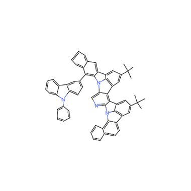 CC(C)(C)c1cc2c3cc4ccccc4c(-c4ccc5c(c4)c4ccccc4n5-c4ccccc4)c3n3c4cnc5c(c6cc(C(C)(C)C)cc7c8ccc9ccccc9c8n5c76)c4c(c1)c23